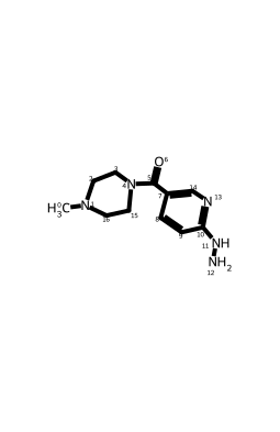 CN1CCN(C(=O)c2ccc(NN)nc2)CC1